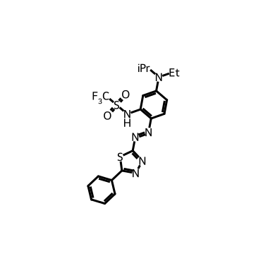 CCN(c1ccc(N=Nc2nnc(-c3ccccc3)s2)c(NS(=O)(=O)C(F)(F)F)c1)C(C)C